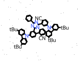 CC(C)(C)c1ccc2c(c1)c1cc(C(C)(C)C)ccc1n2-c1ccc(C#N)c(-c2nc(-c3ccccc3)nc(-c3cc(-n4c5ccc(C(C)(C)C)cc5c5cc(C(C)(C)C)ccc54)ccc3-c3ccccc3C#N)n2)c1